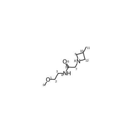 COCCNC(=O)CN1CC(C)C1